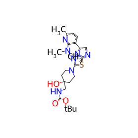 Cc1ccc(-c2cnc3sc(N4CCC(O)(CNC(=O)OC(C)(C)C)CC4)nn23)c(N(C)C)n1